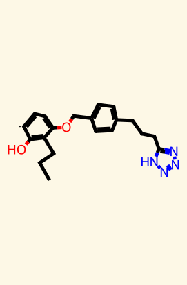 CCCc1c(O)[c]ccc1OCc1ccc(CCCc2nnn[nH]2)cc1